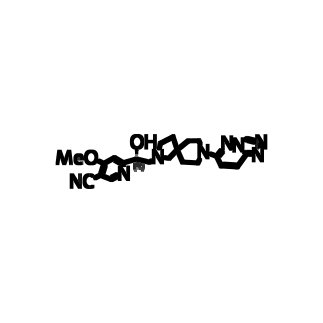 COc1cc([C@H](O)CN2CCC3(CCN(c4ccc5nncn5n4)CC3)C2)ncc1C#N